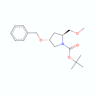 COC[C@@H]1C[C@@H](OCc2ccccc2)CN1C(=O)OC(C)(C)C